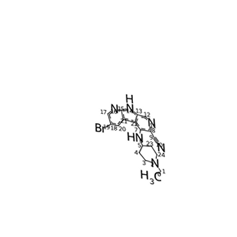 CCN1CCC(Nc2c(C#N)ncc3[nH]c4ncc(Br)cc4c23)CC1